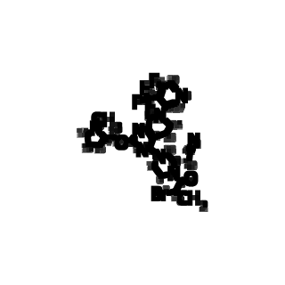 C=C(Br)C(=O)N1CCN(c2nc(OC[C@@H]3CCCN3C)nc3c2CCN(c2cncc(F)c2C(F)(F)F)C3)C[C@@H]1CC#N